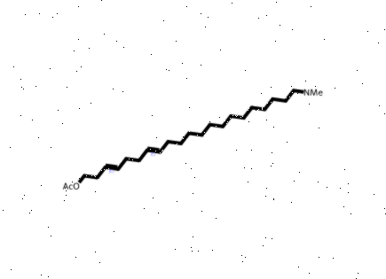 CNCCCCCCCCCCCCC/C=C/CC/C=C/CCOC(C)=O